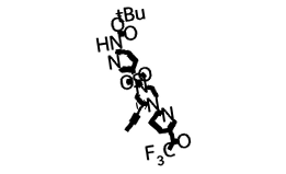 CC#C[C@H]1CN(S(=O)(=O)c2ccc(NC(=O)OC(C)(C)C)nc2)CCN1c1ccc(C(=O)C(F)(F)F)cn1